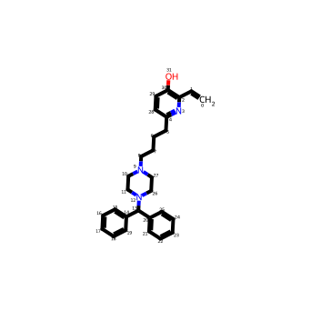 C=Cc1nc(CCCCN2CCN(C(c3ccccc3)c3ccccc3)CC2)ccc1O